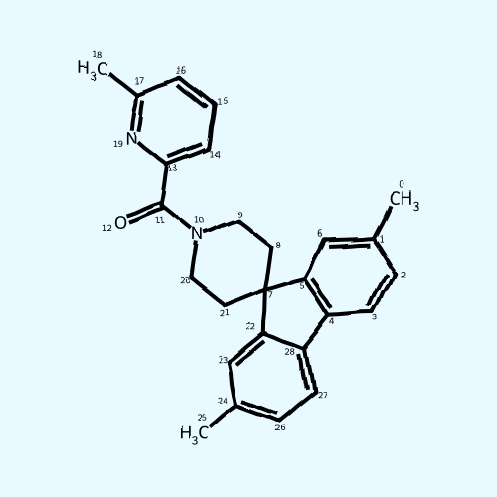 Cc1ccc2c(c1)C1(CCN(C(=O)c3cccc(C)n3)CC1)c1cc(C)ccc1-2